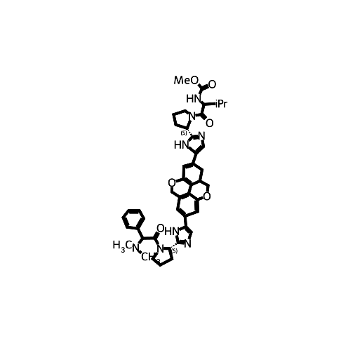 COC(=O)NC(C(=O)N1CCC[C@H]1c1ncc(C2=CC3=C4c5c(cc(-c6cnc([C@@H]7CCCN7C(=O)C(c7ccccc7)N(C)C)[nH]6)cc5OCC4C2)CO3)[nH]1)C(C)C